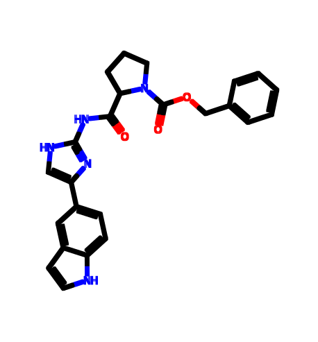 O=C(Nc1nc(-c2ccc3[nH]ccc3c2)c[nH]1)C1CCCN1C(=O)OCc1ccccc1